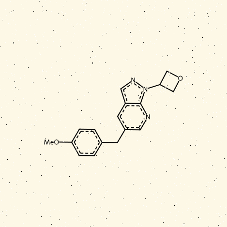 COc1ccc(Cc2cnc3c(cnn3C3COC3)c2)cc1